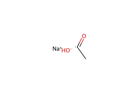 C[C]=O.[Na+].[OH-]